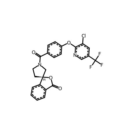 O=C1O[C@]2(CCN(C(=O)c3ccc(Oc4ncc(C(F)(F)F)cc4Cl)cc3)C2)c2ccccc21